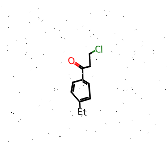 CCc1ccc(C(=O)CCCl)cc1